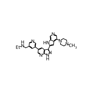 CCNCc1cncc(-c2cnc3[nH]nc(-c4cc5c(N6CCN(C)CC6)cncc5[nH]4)c3c2)c1